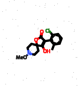 CON1CCC2(CC1)OC(=O)C(c1c(C)cccc1Cl)=C2O